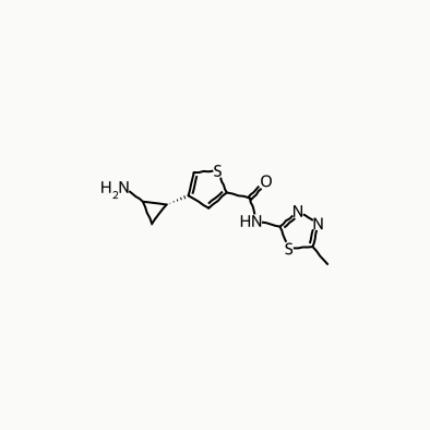 Cc1nnc(NC(=O)c2cc([C@@H]3CC3N)cs2)s1